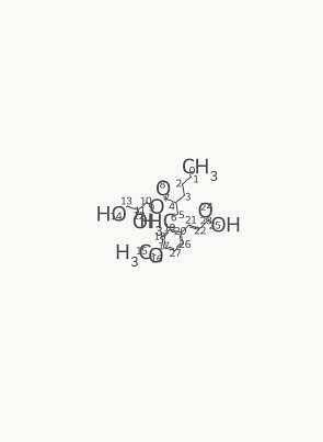 CCCCC(CC)C(=O)OCC(O)CO.COc1ccc(/C=C/C(=O)O)cc1